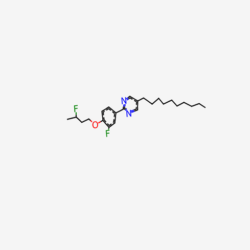 CCCCCCCCCCc1cnc(-c2ccc(OCCC(C)F)c(F)c2)nc1